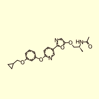 CC(=O)N[C@@H](C)COc1cnc(-c2ccc(Oc3cccc(OCC4CC4)c3)nc2)o1